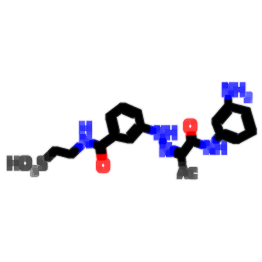 CC(=O)/C(=N/Nc1cccc(C(=O)NCCS(=O)(=O)O)c1)C(=O)Nc1cccc(N)c1